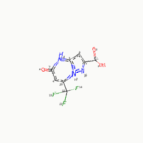 O=C(O)c1cc2[nH]c(=O)cc(C(F)(F)F)n2n1